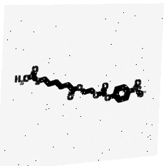 CC(=O)SCCCCCC(=O)OCCOC(=O)Oc1ccc([N+](=O)[O-])cc1